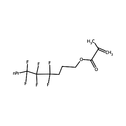 C=C(C)C(=O)OCCCC(F)(F)C(F)(F)C(F)(F)CCC